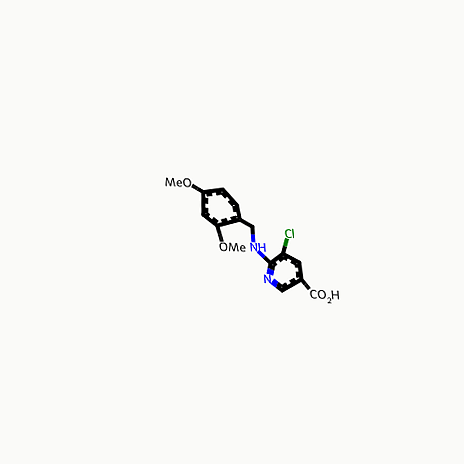 COc1ccc(CNc2ncc(C(=O)O)cc2Cl)c(OC)c1